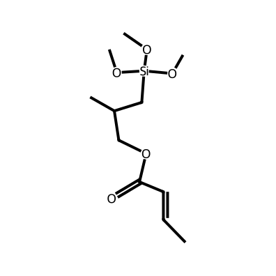 CC=CC(=O)OCC(C)C[Si](OC)(OC)OC